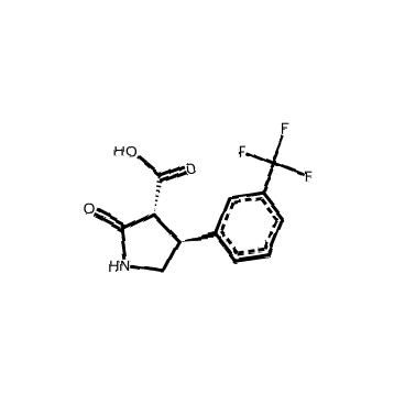 O=C(O)[C@H]1C(=O)NC[C@@H]1c1cccc(C(F)(F)F)c1